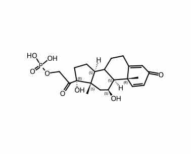 C[C@]12C=CC(=O)C=C1CCC1[C@@H]2[C@@H](O)C[C@@]2(C)[C@H]1CC[C@]2(O)C(=O)COP(=O)(O)O